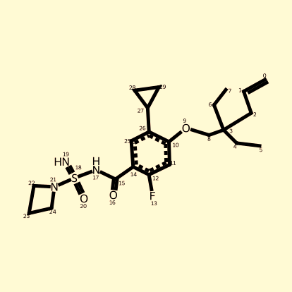 C=CCC(CC)(CC)COc1cc(F)c(C(=O)NS(=N)(=O)N2CCC2)cc1C1CC1